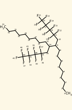 CCCCCCCCCC(CC(F)(F)C(F)(F)C(F)(F)C(F)(F)F)C(CCCCCCCCC)CC(F)(F)C(F)(F)C(F)(F)C(F)(F)F